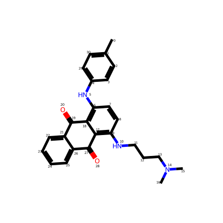 Cc1ccc(Nc2ccc(NCCCN(C)C)c3c2C(=O)c2ccccc2C3=O)cc1